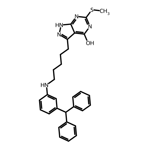 CSc1nc(O)c2c(CCCCCNc3cccc(C(c4ccccc4)c4ccccc4)c3)n[nH]c2n1